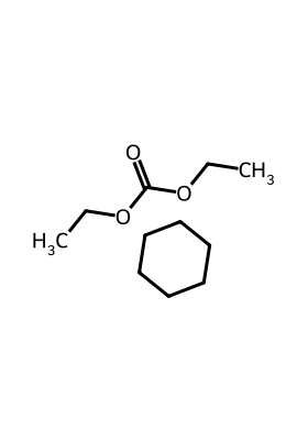 C1CCCCC1.CCOC(=O)OCC